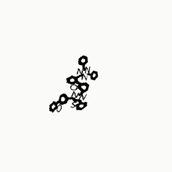 c1ccc(-c2nc(-c3ccccc3)nc(-c3cccc4oc5c(-c6nc(-c7ccc8c(c7)oc7ccccc78)c7sc8ccccc8c7n6)cccc5c34)n2)cc1